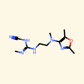 C/N=C(\NC#N)NCCN(C)c1nc(C)oc1C